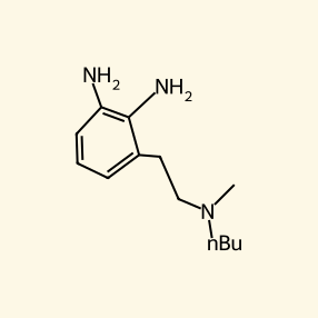 CCCCN(C)CCc1cccc(N)c1N